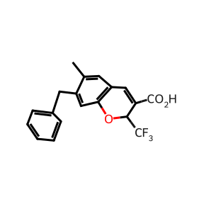 Cc1cc2c(cc1Cc1ccccc1)OC(C(F)(F)F)C(C(=O)O)=C2